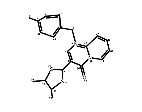 Cc1ccc(C[n+]2cc(C3SC(C)C(C)S3)c(=O)n3ccccc32)cc1